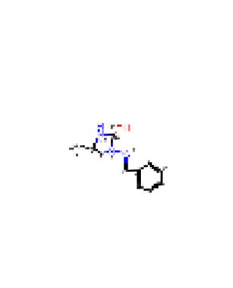 C[C@H]1CN(/N=C/c2ccccc2)C(O)N1